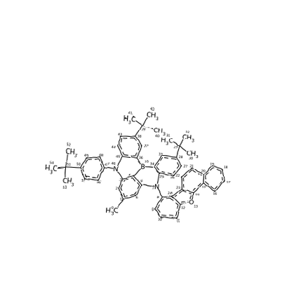 Cc1cc2c3c(c1)N(c1cccc4oc5c6ccccc6ccc5c14)c1ccc(C(C)(C)C)cc1B3c1cc(C(C)(C)C)ccc1N2c1ccc(C(C)(C)C)cc1